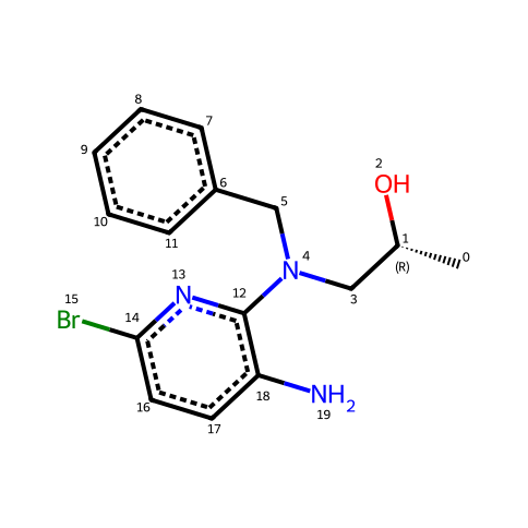 C[C@@H](O)CN(Cc1ccccc1)c1nc(Br)ccc1N